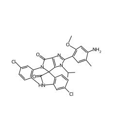 COc1cc(N)c(C)cc1-c1nc2c(n1C(C)C)C1(C(=O)Nc3cc(Cl)ccc31)N(c1cc(Cl)ccc1C)C2=O